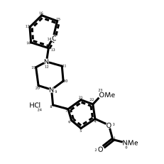 CNC(=O)Oc1ccc(CN2CCN(c3ccccc3)CC2)cc1OC.Cl